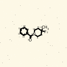 CC1(F)CCN(C(=O)c2ccccc2)CC1